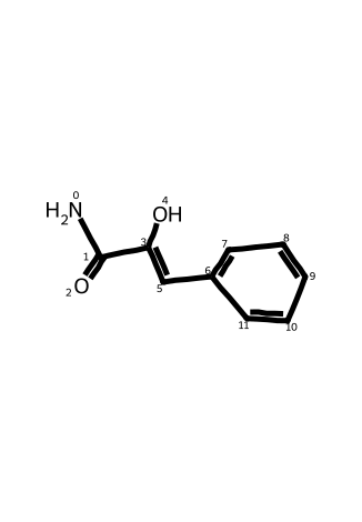 NC(=O)C(O)=Cc1ccccc1